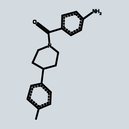 Cc1ccc(C2CCN(C(=O)c3ccc(N)cc3)CC2)cc1